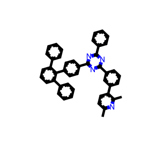 Cc1ccc(-c2cccc(-c3nc(-c4ccccc4)nc(-c4ccc(-c5c(-c6ccccc6)cccc5-c5ccccc5)cc4)n3)c2)c(C)n1